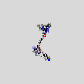 Cc1ncsc1-c1ccc(CNC(=O)[C@@H]2CCCN2C(=O)[C@@H](NC(=O)COCCCCCCCOc2cc(F)c([C@@H]3c4[nH]c5ccccc5c4C[C@@H](C)N3CC(F)(F)CO)c(F)c2)C(C)(C)C)cc1